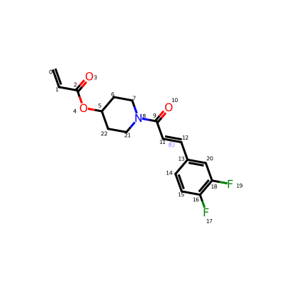 C=CC(=O)OC1CCN(C(=O)/C=C/c2ccc(F)c(F)c2)CC1